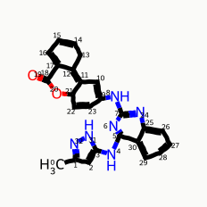 Cc1cc(Nc2nc(NC3=CC4=C5CC=CC=C5C(=O)OC4C=C3)nc3ccccc23)[nH]n1